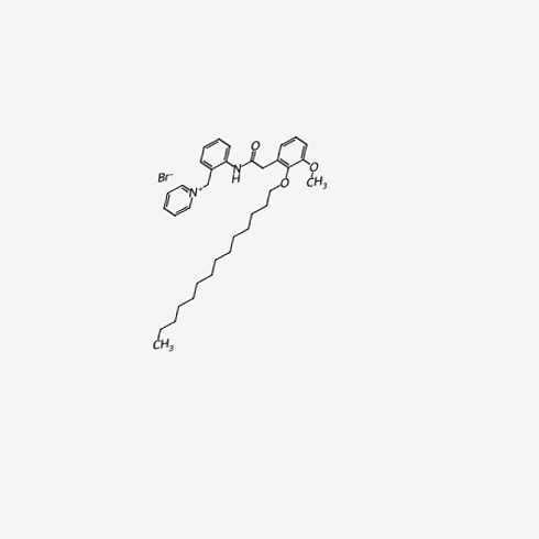 CCCCCCCCCCCCCCOc1c(CC(=O)Nc2ccccc2C[n+]2ccccc2)cccc1OC.[Br-]